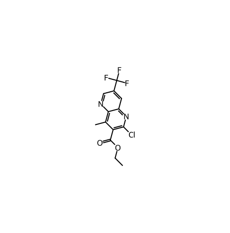 CCOC(=O)c1c(Cl)nc2cc(C(F)(F)F)cnc2c1C